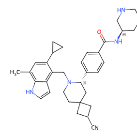 Cc1cc(C2CC2)c(CN2CCC3(CC(C#N)C3)C[C@H]2c2ccc(C(=O)N[C@@H]3CCCNC3)cc2)c2cc[nH]c12